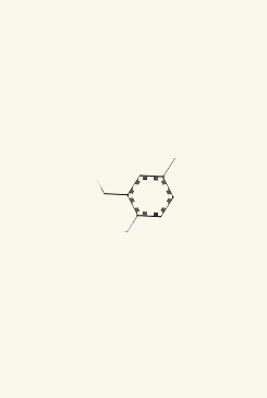 Cc1ccc(I)c(CF)c1